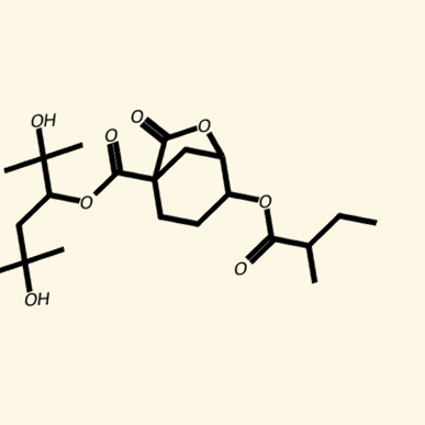 CCC(C)C(=O)OC1CCC2(C(=O)OC(CC(C)(C)O)C(C)(C)O)CC1OC2=O